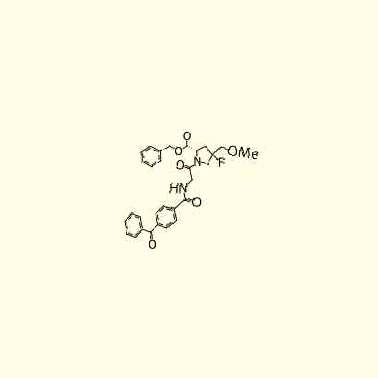 COC[C@@]1(F)C[C@@H](C(=O)OCc2ccccc2)N(C(=O)CNC(=O)c2ccc(C(=O)c3ccccc3)cc2)C1